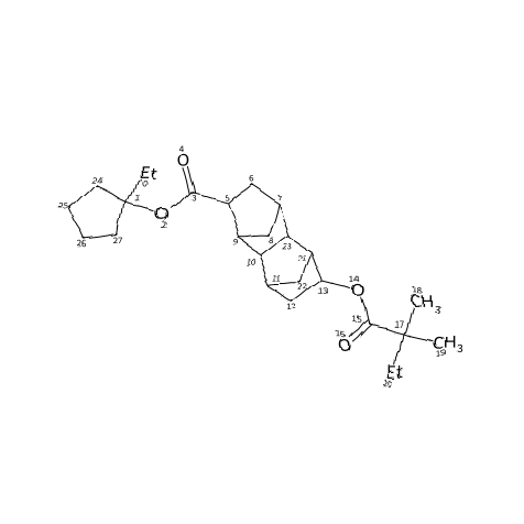 CCC1(OC(=O)C2CC3CC2C2C4CC(OC(=O)C(C)(C)CC)C(C4)C32)CCCC1